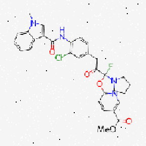 COC(=O)c1ccc(OC(F)(C(=O)Cc2ccc(NC(=O)c3cn(C)c4ccccc34)c(Cl)c2)N2CCCC2)nc1